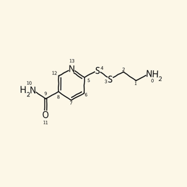 NCCSSc1ccc(C(N)=O)cn1